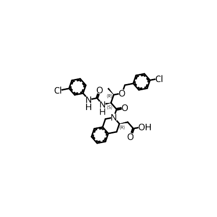 C[C@@H](OCc1ccc(Cl)cc1)[C@H](NC(=O)Nc1cccc(Cl)c1)C(=O)N1Cc2ccccc2C[C@@H]1CC(=O)O